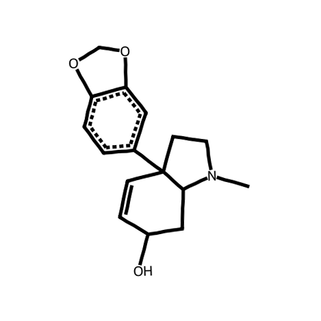 CN1CCC2(c3ccc4c(c3)OCO4)C=CC(O)CC12